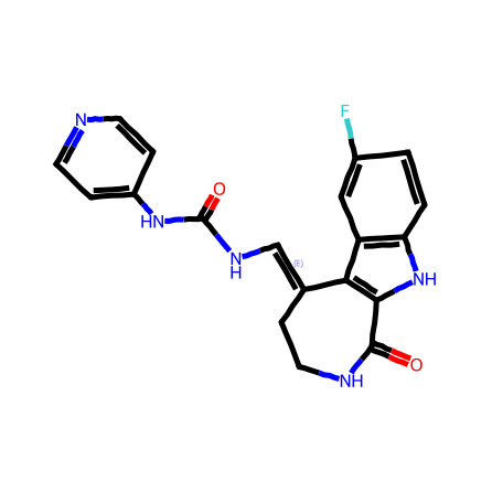 O=C(N/C=C1\CCNC(=O)c2[nH]c3ccc(F)cc3c21)Nc1ccncc1